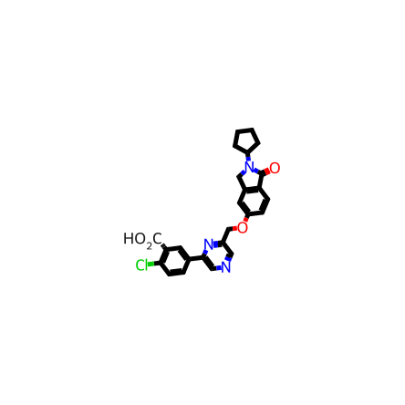 O=C(O)c1cc(-c2cncc(COc3ccc4c(c3)CN(C3CCCC3)C4=O)n2)ccc1Cl